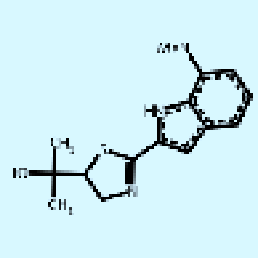 CNc1cccc2cc(C3=NCC(C(C)(C)O)S3)[nH]c12